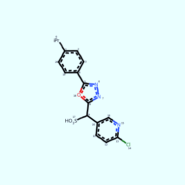 CC(C)c1ccc(-c2nnc(C(c3ccc(Cl)nc3)S(=O)(=O)O)o2)cc1